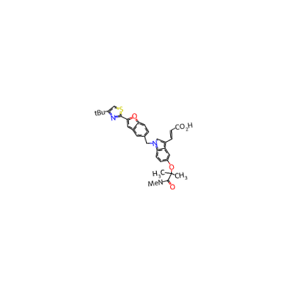 CNC(=O)C(C)(C)Oc1ccc2c(c1)c(/C=C/C(=O)O)cn2Cc1ccc2oc(-c3nc(C(C)(C)C)cs3)cc2c1